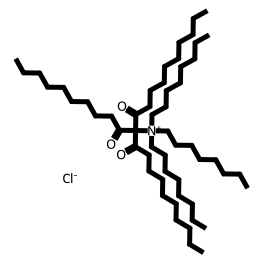 CCCCCCCCCC(=O)C(C(=O)CCCCCCCCC)(C(=O)CCCCCCCCC)[N+](CCCCCCCC)(CCCCCCCC)CCCCCCCC.[Cl-]